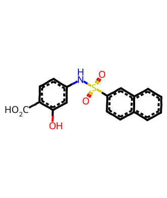 O=C(O)c1ccc(NS(=O)(=O)c2ccc3ccccc3c2)cc1O